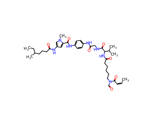 C/C=C\C(=O)N(C=O)CCCCCC(=O)NC(C(=O)NCC(=O)Nc1ccc(NC(=O)c2cc(NC(=O)CCCC(C)CC)cn2C)cc1)C(C)C